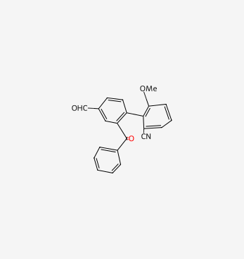 COc1cccc(C#N)c1-c1ccc(C=O)cc1C(=O)c1ccccc1